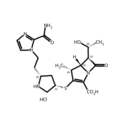 C[C@@H](O)[C@H]1C(=O)N2C(C(=O)O)=C(S[C@@H]3CN[C@H](CCn4ccnc4C(N)=O)C3)[C@H](C)[C@H]12.Cl